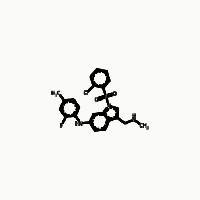 CNCc1cn(S(=O)(=O)c2ccccc2Cl)c2cc(Nc3ccc(C)cc3F)ccc12